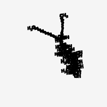 CCCCCCCCCCCCC/C=C/[C@@H](O)[C@H](CO[C@@H]1OC(CO)[C@@H](O[C@@H]2OC(CO)[C@H](O)[C@H](O[C@@H]3OC(CO)[C@@H](O)[C@H](O[C@@H]4OC(CO)[C@H](O)[C@H](O[C@@H]5OC(CO)[C@H](O)[C@H](O[C@]6(C(=O)O)CC(O)[C@@H](NC(C)=O)C([C@H](O)[C@H](O)CO)O6)C5O)C4O)C3NC(C)=O)C2O)[C@H](O)C1O)NC(=O)CCCCCCCCCCCCCCCCCCC